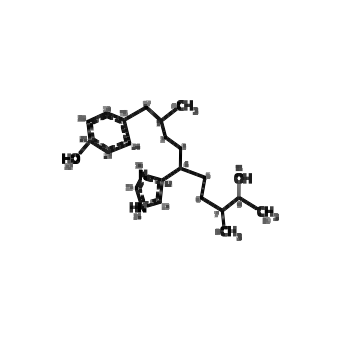 CC(CCC(CCC(C)C(C)O)c1c[nH]cn1)Cc1ccc(O)cc1